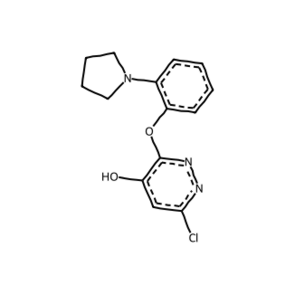 Oc1cc(Cl)nnc1Oc1ccccc1N1CCCC1